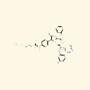 C=N/N=C\N(N)c1ccc(Cl)cc1CNC(=O)N[C@@H](Cc1ccccc1)c1nc(-c2ccc(NC(=O)OCCOC)cc2)c(Cl)[nH]1